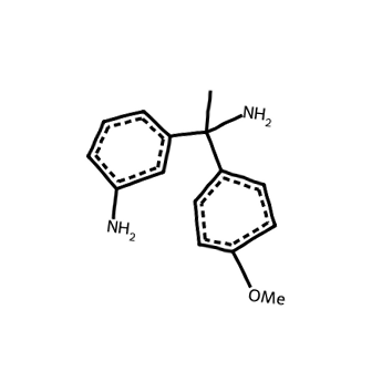 COc1ccc(C(C)(N)c2cccc(N)c2)cc1